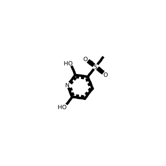 CS(=O)(=O)c1ccc(O)nc1O